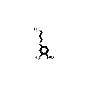 CCCCOc1ccc(N=O)c(C)c1